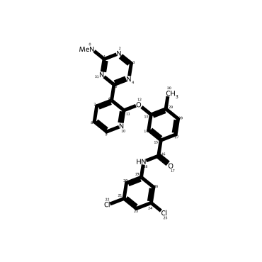 CNc1ncnc(-c2cccnc2Oc2cc(C(=O)Nc3cc(Cl)cc(Cl)c3)ccc2C)n1